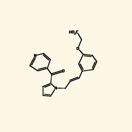 O=C(O)COc1cccc(/C=C/Cn2cccc2C(=O)c2ccncc2)c1